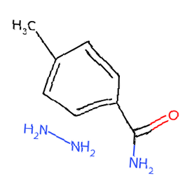 Cc1ccc(C(N)=O)cc1.NN